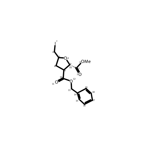 COC(=O)[C@H]1OC(CI)CC1C(=O)OCc1ccccc1